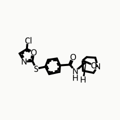 O=C(N[C@H]1CN2CCC1CC2)c1ccc(Sc2ncc(Cl)o2)cc1